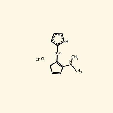 C[SiH](C)C1=[C]([Zr+2][c]2ccc[nH]2)CC=C1.[Cl-].[Cl-]